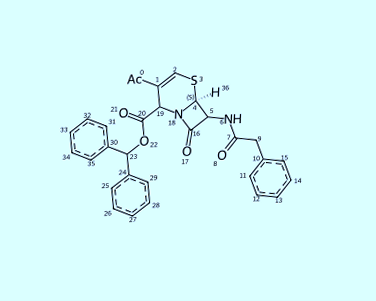 CC(=O)C1=CS[C@H]2C(NC(=O)Cc3ccccc3)C(=O)N2C1C(=O)OC(c1ccccc1)c1ccccc1